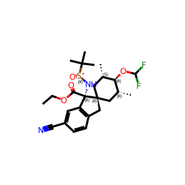 CCOC(=O)[C@]1(N[S@@+]([O-])C(C)(C)C)c2cc(C#N)ccc2C[C@@]12C[C@@H](C)[C@H](OC(F)F)[C@@H](C)C2